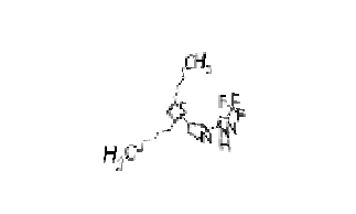 CCCCCCc1cc(CCCCCC)c(-c2ccnc(-c3cc(C(F)(F)F)n[nH]3)c2)s1